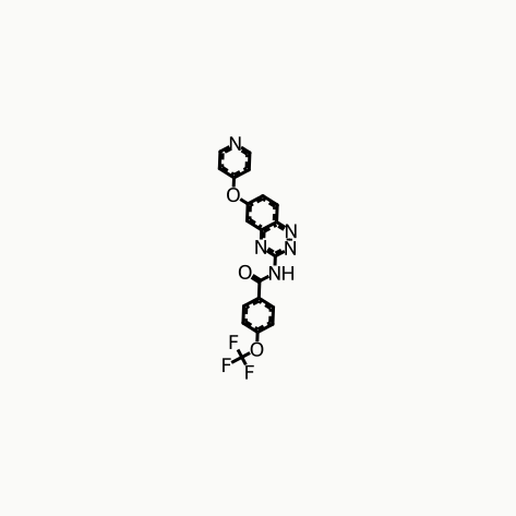 O=C(Nc1nnc2ccc(Oc3ccncc3)cc2n1)c1ccc(OC(F)(F)F)cc1